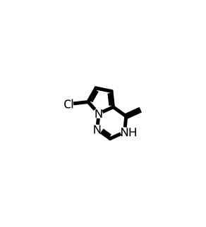 C=C1NC=Nn2c(Cl)ccc21